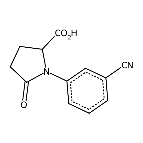 N#Cc1cccc(N2C(=O)CCC2C(=O)O)c1